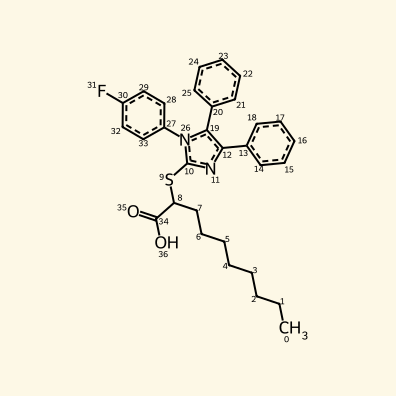 CCCCCCCCC(Sc1nc(-c2ccccc2)c(-c2ccccc2)n1-c1ccc(F)cc1)C(=O)O